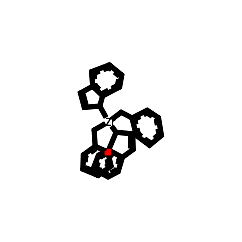 C1=C[CH]([Zr]([CH2]c2ccccc2)([CH2]c2ccccc2)[CH]2C=Cc3ccccc32)c2ccccc21